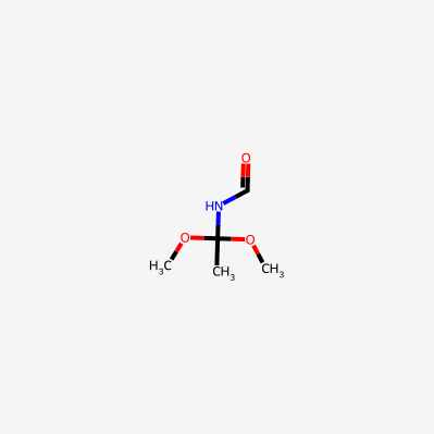 COC(C)(NC=O)OC